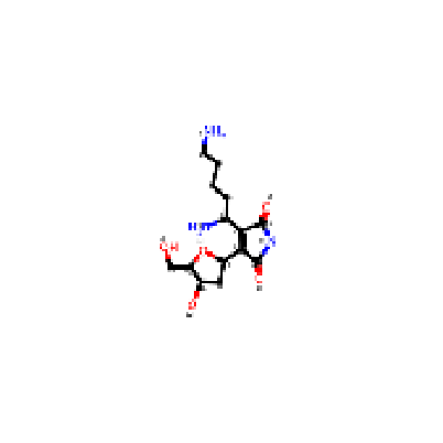 NCCCCC(N)C1=C(C2CC(O)C(CO)O2)C(=O)NC1=O